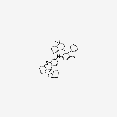 CC1(C)CCC(C)(C)c2c(N(c3ccc4c(c3)Sc3ccccc3C43C4CC5CC6CC3C64C5)c3ccc4sc5ccccc5c4c3)cccc21